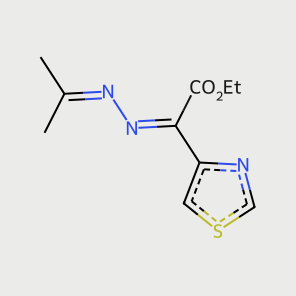 CCOC(=O)C(=NN=C(C)C)c1cscn1